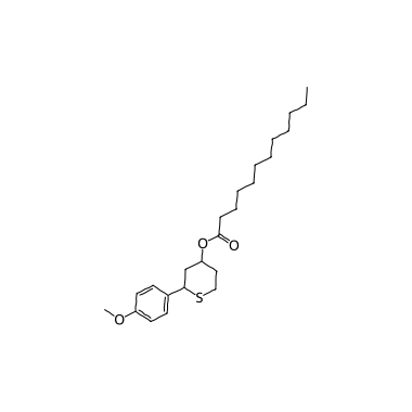 CCCCCCCCCCCC(=O)OC1CCSC(c2ccc(OC)cc2)C1